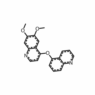 COc1cc2nccc(Oc3cccc4ncccc34)c2cc1OC